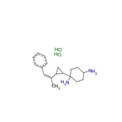 CC(=Cc1ccccc1)C1CC1C1(N)CCC(N)CC1.Cl.Cl